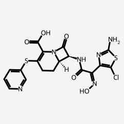 Nc1nc(/C(=N/O)C(=O)N[C@@H]2C(=O)N3C(C(=O)O)=C(Sc4cccnc4)CC[C@H]23)c(Cl)s1